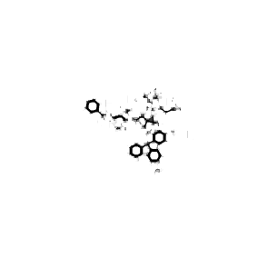 COc1ccc(C(OC[C@H]2O[C@@H](n3cnc4c(NC(=O)c5ccccc5)ncnc43)[C@H](OP(OCCC#N)N(C(C)C)C(C)C)[C@@]23CC3(F)F)(c2ccccc2)c2ccc(OC)cc2)cc1